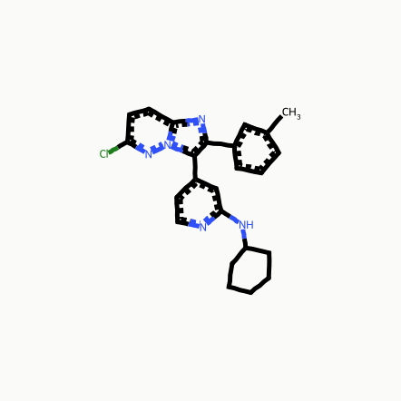 Cc1cccc(-c2nc3ccc(Cl)nn3c2-c2ccnc(NC3CCCCC3)c2)c1